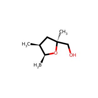 B[C@@H]1O[C@](C)(CO)C[C@@H]1C